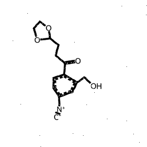 [C-]#[N+]c1ccc(C(=O)CCC2OCCO2)c(CO)c1